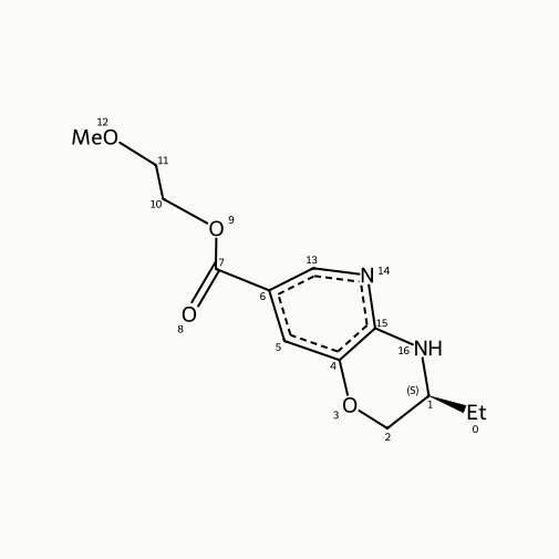 CC[C@H]1COc2cc(C(=O)OCCOC)cnc2N1